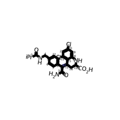 CC(C)C(=O)NCc1ccc(/C(C(N)=O)=C2/CC(C(=O)O)Nc3cc(Cl)cc(Cl)c32)cc1